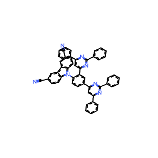 N#Cc1ccc2c(c1)c1cc(C#N)ccc1n2-c1ccc(-c2cc(-c3ccccc3)nc(-c3ccccc3)n2)cc1-c1cc(-c2ccccc2)nc(-c2ccccc2)n1